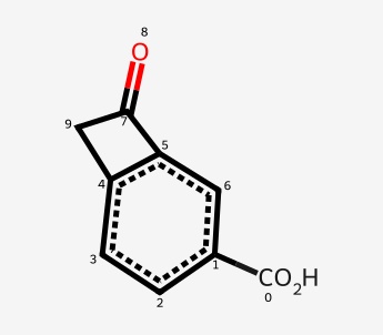 O=C(O)c1ccc2c(c1)C(=O)C2